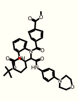 COC(=O)c1ccc(C(=O)N(c2ccccc2NC(=O)OC(C)(C)C)C(C(=O)Nc2ccc(N3CCOCC3)cc2)C2CCCCC2)cc1